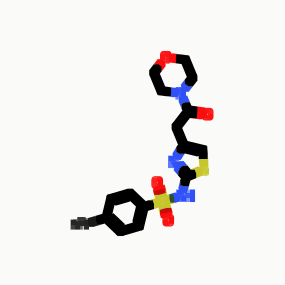 CCCc1ccc(S(=O)(=O)Nc2nc(CC(=O)N3CCOCC3)cs2)cc1